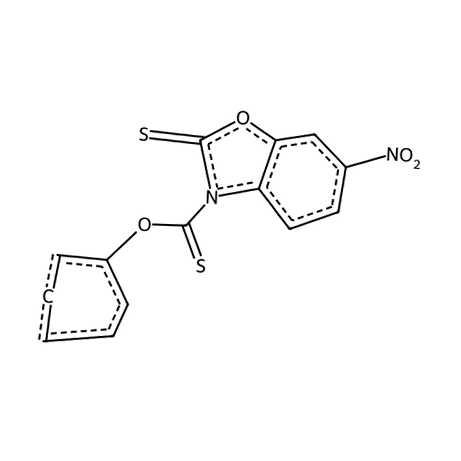 O=[N+]([O-])c1ccc2c(c1)oc(=S)n2C(=S)Oc1ccccc1